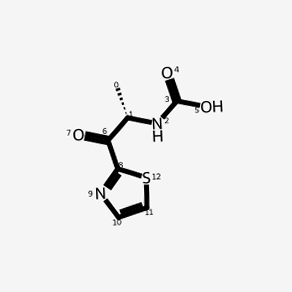 C[C@H](NC(=O)O)C(=O)c1nccs1